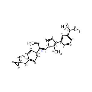 C=C/C(=C\n1ncc(-c2cccc(C(N)C(F)(F)F)c2)c1C)c1ccc(CC2(CCC)CC2)cc1